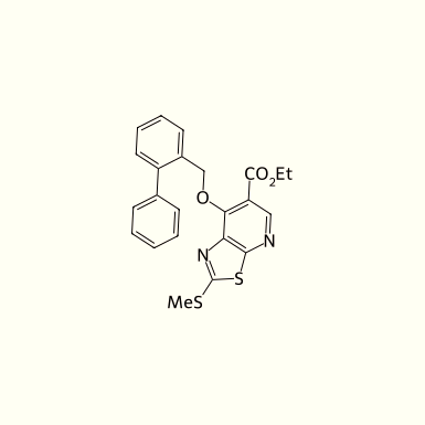 CCOC(=O)c1cnc2sc(SC)nc2c1OCc1ccccc1-c1ccccc1